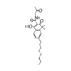 CCCCCCCCc1ccc2c(c1)C(C)(C)C(=O)C(C(=O)NCC(C)=O)=C2O